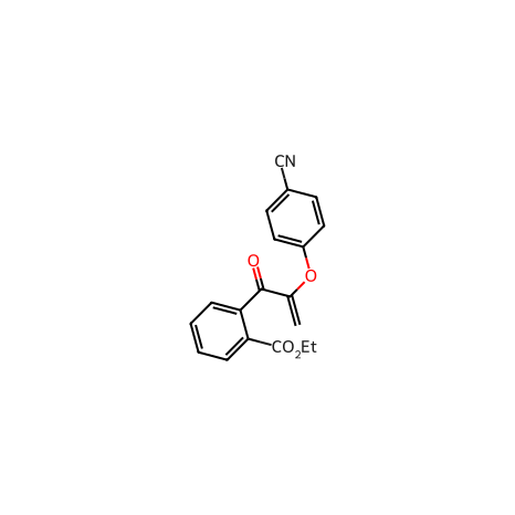 C=C(Oc1ccc(C#N)cc1)C(=O)c1ccccc1C(=O)OCC